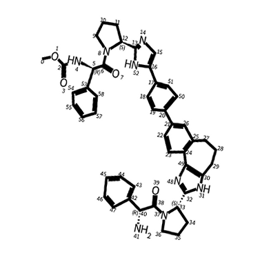 COC(=O)N[C@@H](C(=O)N1CCC[C@H]1c1ncc(-c2ccc(-c3ccc4c(c3)CCCc3[nH]c([C@@H]5CCCN5C(=O)[C@H](N)c5ccccc5)nc3-4)cc2)[nH]1)c1ccccc1